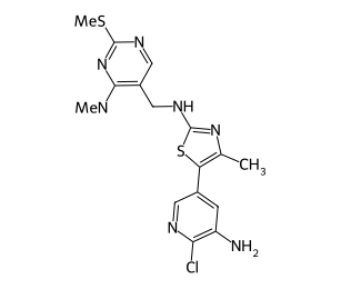 CNc1nc(SC)ncc1CNc1nc(C)c(-c2cnc(Cl)c(N)c2)s1